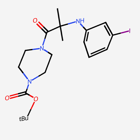 CC(C)(C)OC(=O)N1CCN(C(=O)C(C)(C)Nc2cccc(I)c2)CC1